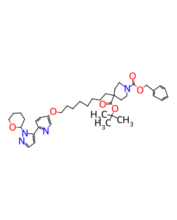 CC(C)(C)OC(=O)C1(CCCCCCCCOc2ccc(-c3ccnn3C3CCCCO3)nc2)CCN(C(=O)OCc2ccccc2)CC1